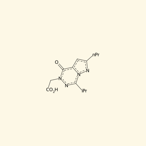 CCCc1cc2c(=O)n(CC(=O)O)nc(C(C)C)n2n1